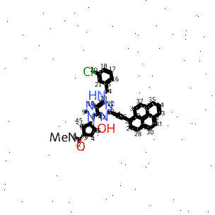 CNC(=O)[C@@H]1C[C@@H](O)[C@H](n2cnc3c(NCc4cccc(Cl)c4)nc(C#Cc4ccc5ccc6cccc7ccc4c5c67)nc32)[C@H]1C